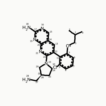 CC(C)COc1cccc(Cl)c1-c1cc2cnc(N)nc2nc1N1CC[C@@H](CN)C1